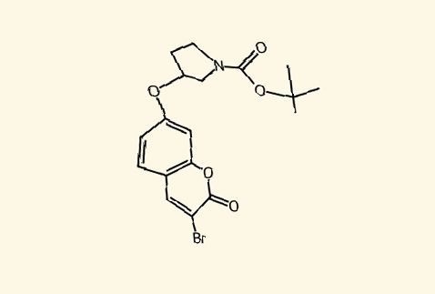 CC(C)(C)OC(=O)N1CCC(Oc2ccc3cc(Br)c(=O)oc3c2)C1